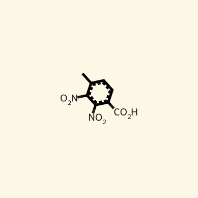 Cc1ccc(C(=O)O)c([N+](=O)[O-])c1[N+](=O)[O-]